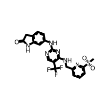 CS(=O)(=O)c1cccc(CNc2nc(Nc3ccc4c(c3)NC(=O)C4)ncc2C(F)(F)F)n1